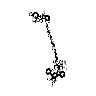 CO[C@@H]1[C@H](N(C)C(=O)CCCCCOCCOCCOCCOCCNc2cccc3c2C(=O)N(C2CCC(=O)NC2=O)C3=O)C[C@H]2O[C@]1(C)n1c3ccccc3c3c4c(c5c6ccccc6n2c5c31)C(=O)NC4